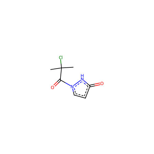 CC(C)(Cl)C(=O)n1ccc(=O)[nH]1